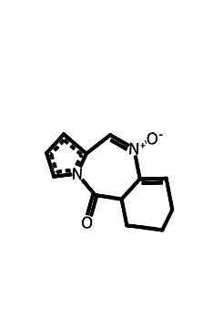 O=C1C2CCCC=C2[N+]([O-])=Cc2cccn21